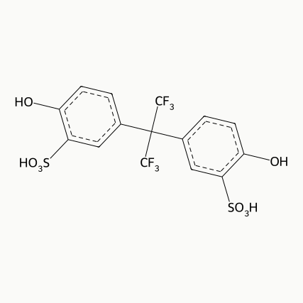 O=S(=O)(O)c1cc(C(c2ccc(O)c(S(=O)(=O)O)c2)(C(F)(F)F)C(F)(F)F)ccc1O